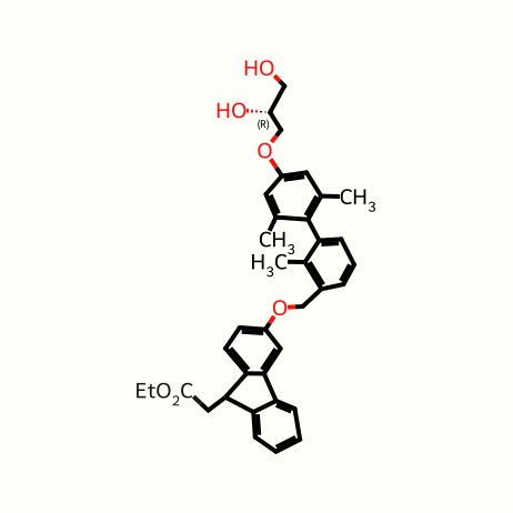 CCOC(=O)CC1c2ccccc2-c2cc(OCc3cccc(-c4c(C)cc(OC[C@H](O)CO)cc4C)c3C)ccc21